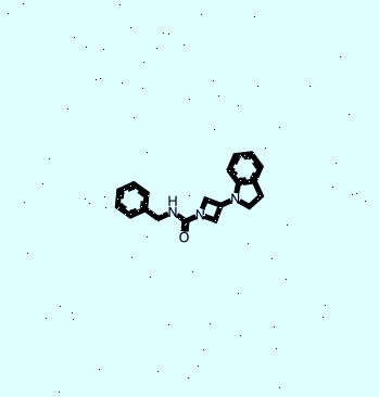 O=C(NCc1ccccc1)N1CC(N2CCc3ccccc32)C1